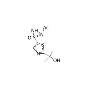 CC(=O)N=S(N)(=O)c1cnc(C(C)(C)O)s1